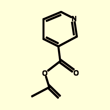 C=C(C)OC(=O)c1cccnc1